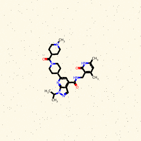 Cc1cc(C)c(CNC(=O)c2cc(C3CCN(C(=O)C4CCN(C)CC4)CC3)nc3c2cnn3C(C)C)c(=O)[nH]1